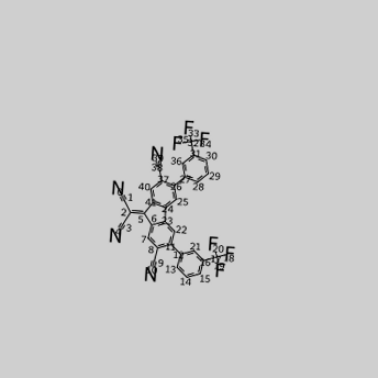 N#CC(C#N)=C1c2cc(C#N)c(-c3cccc(C(F)(F)F)c3)cc2-c2cc(-c3cccc(C(F)(F)F)c3)c(C#N)cc21